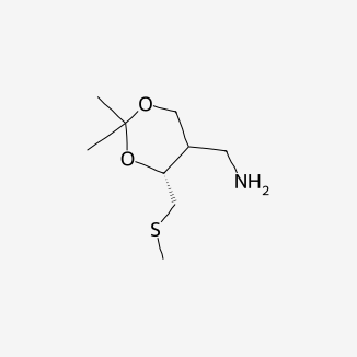 CSC[C@@H]1OC(C)(C)OCC1CN